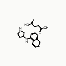 O=C(O)CCC(=O)O.c1cc(NC2CCNC2)c2ccncc2c1